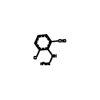 CCCCCNc1c(Cl)cccc1C=O